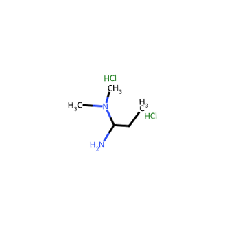 CCC(N)N(C)C.Cl.Cl